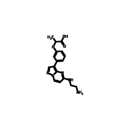 CC(Oc1cccc(-c2cnn3ccc(NCCN)nc23)c1)C(=O)O